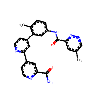 Cc1ccc(NC(=O)c2cc(C(F)(F)F)cnn2)cc1-c1ccnc(-c2ccnc(C(N)=O)c2)c1